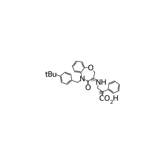 CC(C)(C)c1ccc(CN2C(=O)[C@@H](NC[C@H](C(=O)O)c3ccccc3)COc3ccccc32)cc1